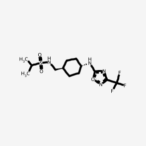 CC(C)S(=O)(=O)NC[C@H]1CC[C@H](Nc2nc(C(F)(F)F)no2)CC1